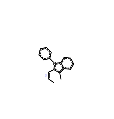 C/C=C\c1c(C)c2ccccc2n1-c1ccccc1